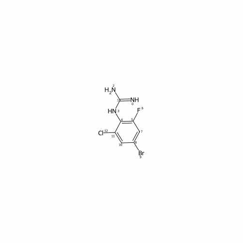 N=C(N)Nc1c(F)cc(Br)cc1Cl